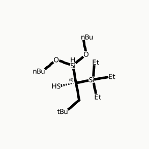 CCCCO[SiH](OCCCC)[C@](S)(CC(C)(C)C)[Si](CC)(CC)CC